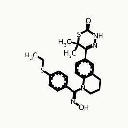 CCSc1ccc(/C(=N/O)N2CCCc3cc(C4=NNC(=O)SC4(C)C)ccc32)cc1